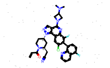 C=CC(=O)N1CC[C@H](n2ncc3c(N4CC(N(C)C)C4)nc4c(F)c(-c5ccc(F)c6cccnc56)c(Cl)cc4c32)C[C@H]1CC#N